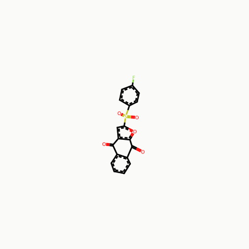 O=C1c2ccccc2C(=O)c2oc(S(=O)(=O)c3ccc(F)cc3)cc21